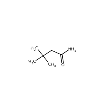 [CH2]C(C)(C)CC(N)=O